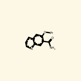 CC(C)Oc1cc2cccnc2cc1C(N)=O